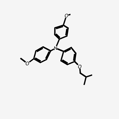 COc1ccc(N(c2ccc(OC)cc2)c2ccc(OCC(C)C)cc2)cc1